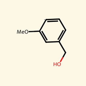 COc1[c]ccc(CO)c1